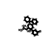 CN(C)CC1CN(C2(c3ccccc3)CCCCC2)CCC1(O)c1cccc(Cl)c1